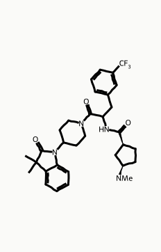 CN[C@@H]1CC[C@H](C(=O)NC(Cc2cccc(C(F)(F)F)c2)C(=O)N2CCC(N3C(=O)C(C)(C)c4ccccc43)CC2)C1